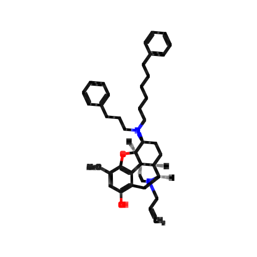 C=CCN1CC[C@]23c4c5c(O)cc(OC)c4O[C@H]2[C@@H](N(CCCCCCc2ccccc2)CCCc2ccccc2)CC[C@H]3[C@H]1C5